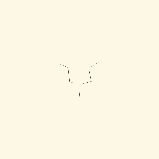 [CH2]C[As](CCO)CCO